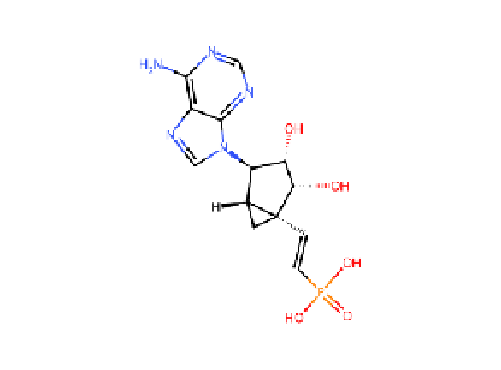 Nc1ncnc2c1ncn2[C@H]1[C@H](O)[C@H](O)[C@@]2(/C=C/P(=O)(O)O)C[C@H]12